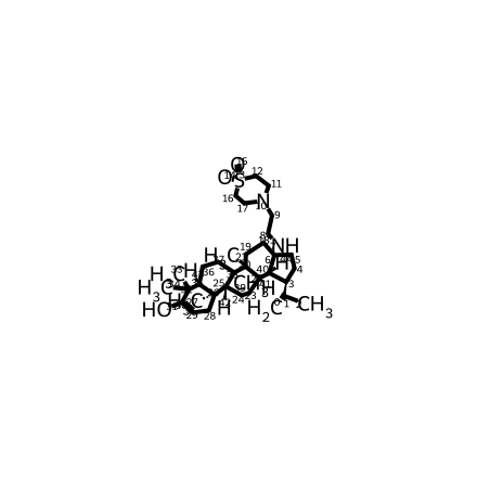 C=C(C)[C@@H]1CC[C@]2(NCCN3CCS(=O)(=O)CC3)CC[C@]3(C)[C@H](CC[C@@H]4[C@@]5(C)CC=C(O)C(C)(C)[C@@H]5CC[C@]43C)[C@@H]12